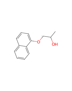 CC(O)[CH]Oc1cccc2ccccc12